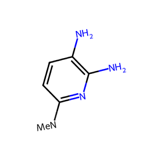 CNc1ccc(N)c(N)n1